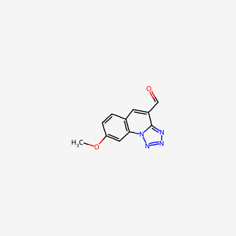 COc1ccc2cc(C=O)c3nnnn3c2c1